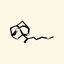 COCCCC(C)C12OC3CC(CC(C3)O1)O2